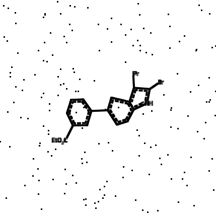 CCOC(=O)c1cccc(-c2ccc3[nH]c(Br)c(C(C)C)c3c2)c1